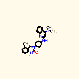 Cc1ccccc1CN(C(N)=O)C1CCC(Nc2cc(N(C)C)c3ccccc3n2)CC1